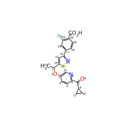 CC(Oc1ccc(C(=O)C2CC2)nc1)c1cc(-c2ccc(C(=O)O)c(F)c2)ns1